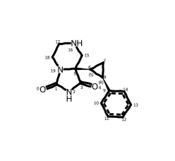 O=C1NC(=O)C2([C@H]3C[C@H]3c3ccccc3)CNCCN12